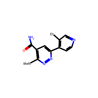 CCc1cnccc1-c1cc(C(N)=O)c(NC)nn1